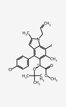 C=CCn1c(C)cc2c(-c3ccc(Cl)cc3)c([C@H](OC(C)(C)C)C(=O)OC)c(C)c(I)c21